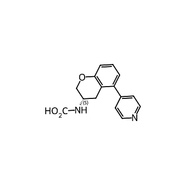 O=C(O)N[C@@H]1COc2cccc(-c3ccncc3)c2C1